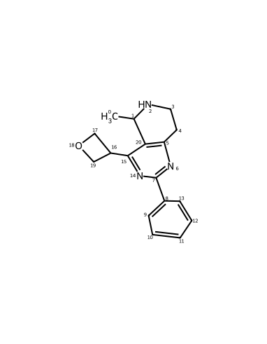 CC1NCCc2nc(-c3ccccc3)nc(C3COC3)c21